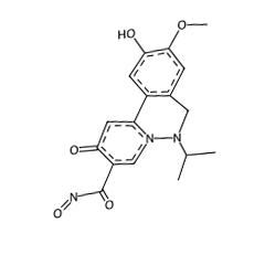 COc1cc2c(cc1O)-c1cc(=O)c(C(=O)N=O)cn1N(C(C)C)C2